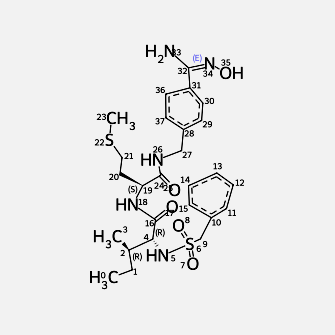 CC[C@@H](C)[C@@H](NS(=O)(=O)Cc1ccccc1)C(=O)N[C@@H](CCSC)C(=O)NCc1ccc(/C(N)=N\O)cc1